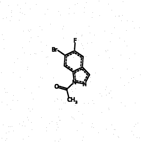 CC(=O)n1ncc2cc(F)c(Br)cc21